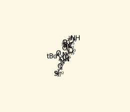 CC(C)(C)C(=O)c1cn(COCC[Si](C)(C)C)c2ncc(-c3cccc(N(C4CCNCC4)S(C)(=O)=O)c3)nc12